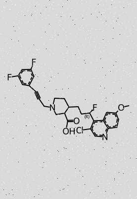 COc1ccc2ncc(Cl)c([C@H](F)CCC3CCN(CC#Cc4cc(F)cc(F)c4)CC3C(=O)O)c2c1